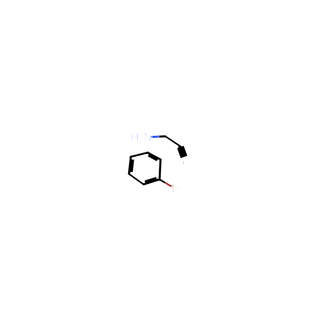 Brc1ccccc1.C#CCN